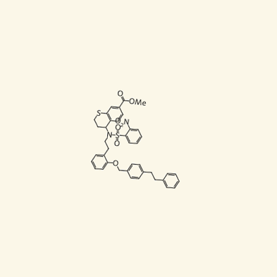 COC(=O)c1ccc2c(c1)SCCC2N(CCc1ccccc1OCc1ccc(CCc2ccccc2)cc1)S(=O)(=O)c1ccccc1[N+](=O)[O-]